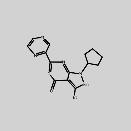 CCc1[nH]n(C2CCCC2)c2nc(-c3cnccn3)nc(=O)c1-2